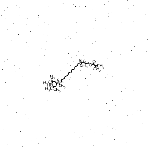 C=C(C)C(=O)OCCC[N+](C)(C)CCCCCCCCCCCC[N+](C)(C)C1CC(C)(C)NC(C)(C)C1